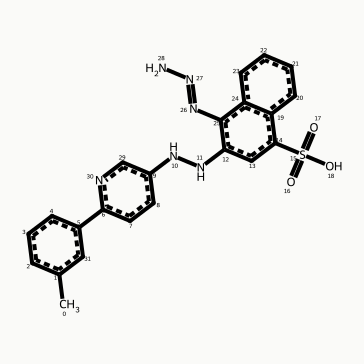 Cc1cccc(-c2ccc(NNc3cc(S(=O)(=O)O)c4ccccc4c3N=NN)cn2)c1